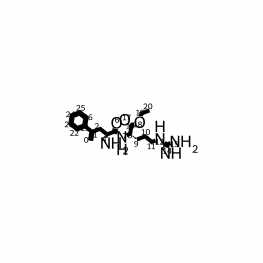 C=C(C[C@H](N)C(=O)N[C@@H](CCCNC(=N)N)C(=O)OCC)c1ccccc1